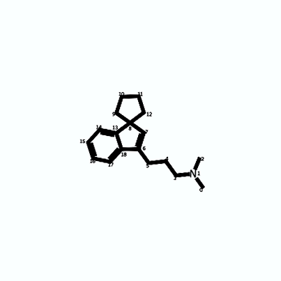 CN(C)CCCC1=CC2(CCCC2)c2ccccc21